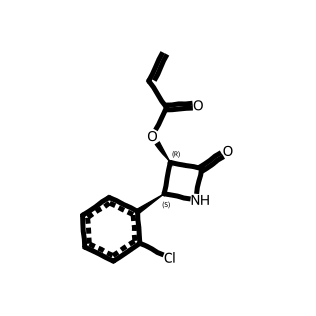 C=CC(=O)O[C@H]1C(=O)N[C@H]1c1ccccc1Cl